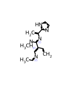 C=CC(=C\N=C/C)/C(=N/C(=C)c1ncc[nH]1)NC